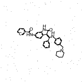 O=C1Nc2cc(NC(=O)c3ccccc3)ccc2/C1=C(/Nc1ccc(CN2CCCCC2)cc1)c1ccccc1